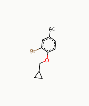 CC(=O)c1ccc(OCC2CC2)c(Br)c1